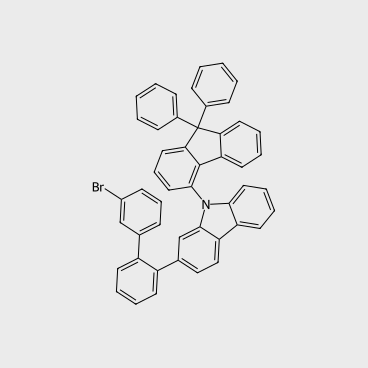 Brc1cccc(-c2ccccc2-c2ccc3c4ccccc4n(-c4cccc5c4-c4ccccc4C5(c4ccccc4)c4ccccc4)c3c2)c1